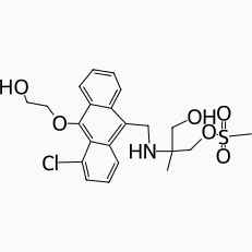 CC(CO)(COS(C)(=O)=O)NCc1c2ccccc2c(OCCO)c2c(Cl)cccc12